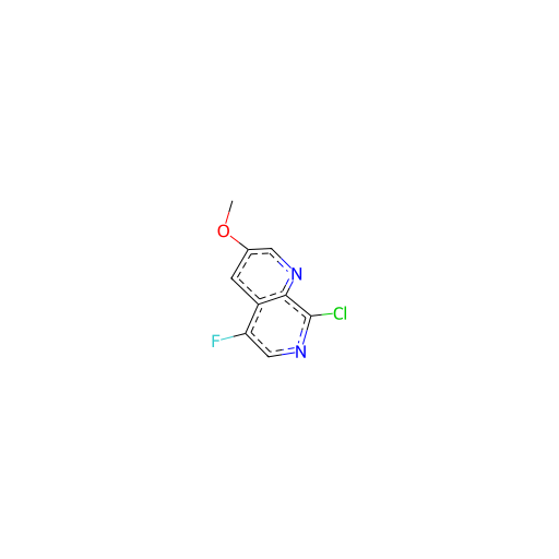 COc1cnc2c(Cl)ncc(F)c2c1